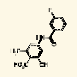 Cc1cc(NC(=O)c2cccc(F)c2)cc(O)c1C(=O)O